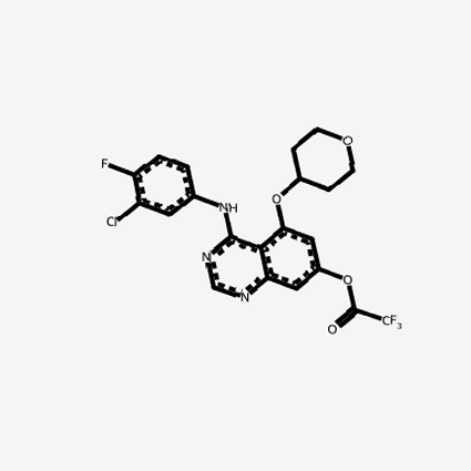 O=C(Oc1cc(OC2CCOCC2)c2c(Nc3ccc(F)c(Cl)c3)ncnc2c1)C(F)(F)F